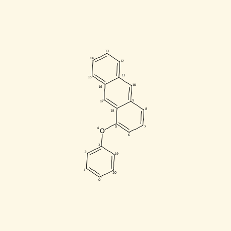 [c]1ccc(Oc2cccc3cc4ccccc4cc23)cc1